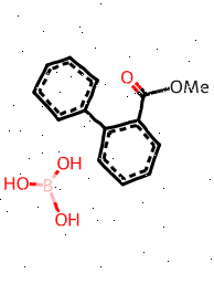 COC(=O)c1ccccc1-c1ccccc1.OB(O)O